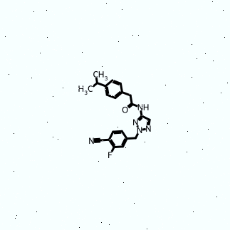 CC(C)c1ccc(CC(=O)Nc2cnn(Cc3ccc(C#N)c(F)c3)n2)cc1